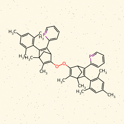 CC1=C(OOC2=C(C)C3(C)CC2C(c2ccccp2)=C3c2c(C)cc(C)cc2C)C2CC1(C)C(c1c(C)cc(C)cc1C)=C2c1ccccp1